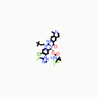 Cc1nccc2cc(C(=O)N(C(=N)NCCC(C)(C)C)[C@H](COC(=O)NC3(C(F)(F)F)CC3)c3ccc(Cl)c(-n4ncnc4C(F)F)c3)ccc12